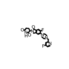 O=C1CCC(N2Cc3cc(N4CCN(Cc5cc(F)ccn5)CC4)c(F)cc3C2=O)C(=O)N1